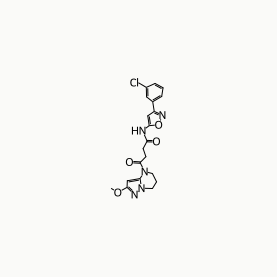 COc1cc2n(n1)CCCN2C(=O)CCC(=O)Nc1cc(-c2cccc(Cl)c2)no1